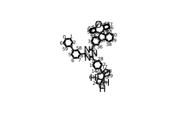 c1ccc(-c2cccc(-c3nc(-c4ccc(C56CC7CC5[C@H]5[C@H](C7)C[C@H]5C6)cc4)nc(-c4ccc5c(c4)-c4ccccc4C54c5ccccc5Oc5ccccc54)n3)c2)cc1